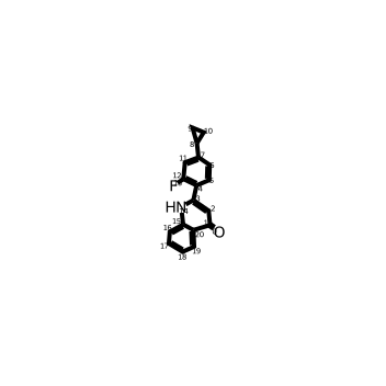 O=c1cc(-c2ccc(C3CC3)cc2F)[nH]c2ccccc12